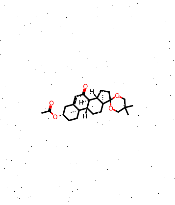 CC(=O)O[C@H]1CC[C@@]2(C)C(=CC(=O)[C@@H]3[C@@H]2CC[C@@]2(C)[C@H]3CCC23OCC(C)(C)CO3)C1